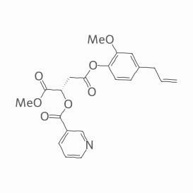 C=CCc1ccc(OC(=O)C[C@H](OC(=O)c2cccnc2)C(=O)OC)c(OC)c1